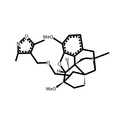 COc1ccc2c3c1O[C@H]1[C@@]4(OC)CC[C@@]5(C[C@@H]4COCc4c(C)noc4C)C(C2)N(C)CC[C@]315